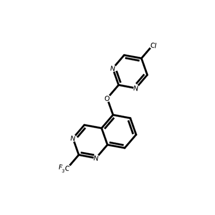 FC(F)(F)c1ncc2c(Oc3ncc(Cl)cn3)cccc2n1